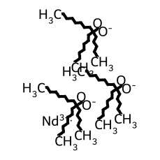 CCCCCCCCC(CCCCCC)(CCCCCCCC)C(=O)[O-].CCCCCCCCC(CCCCCC)(CCCCCCCC)C(=O)[O-].CCCCCCCCC(CCCCCC)(CCCCCCCC)C(=O)[O-].[Nd+3]